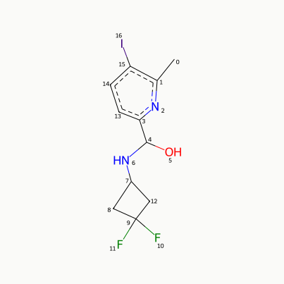 Cc1nc(C(O)NC2CC(F)(F)C2)ccc1I